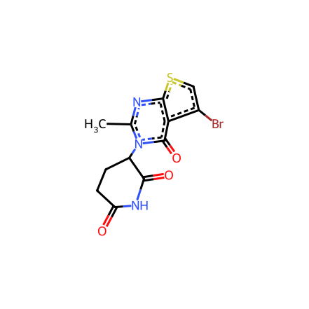 Cc1nc2scc(Br)c2c(=O)n1C1CCC(=O)NC1=O